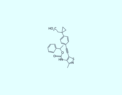 Cc1nsc(C#Cc2ccc(C3(CC(=O)O)CC3)cc2)c1NC(=O)OC(C)c1ccccc1